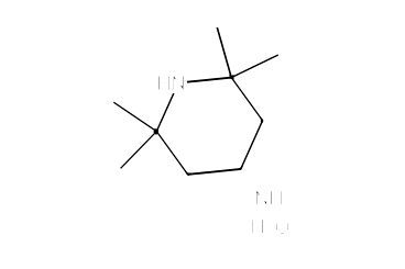 CC1(C)CCCC(C)(C)N1.N.O